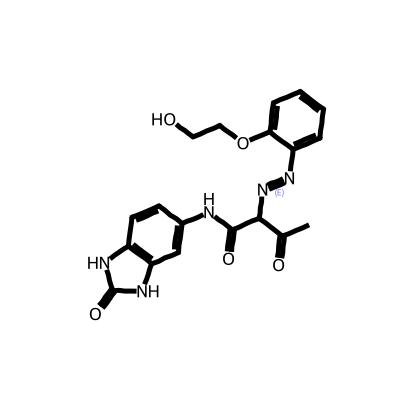 CC(=O)C(/N=N/c1ccccc1OCCO)C(=O)Nc1ccc2[nH]c(=O)[nH]c2c1